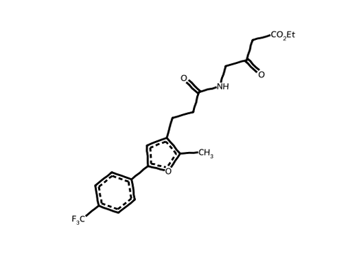 CCOC(=O)CC(=O)CNC(=O)CCc1cc(-c2ccc(C(F)(F)F)cc2)oc1C